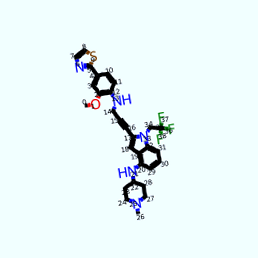 COc1cc(-c2nccs2)ccc1NCC#Cc1cc2c(NC3CCN(C)CC3)cccc2n1CC(F)(F)F